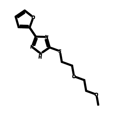 COCCOCCSc1nc(-c2ccco2)n[nH]1